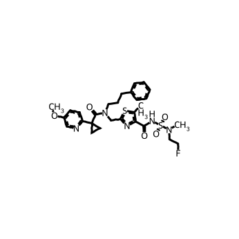 COc1ccc(C2(C(=O)N(CCCc3ccccc3)Cc3nc(C(=O)NS(=O)(=O)N(C)CCF)c(C)s3)CC2)nc1